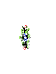 O=C(F)C(F)(C(F)(F)F)C(F)(F)N1C(F)(F)C(F)(F)N(C(F)(F)C(F)(C(=O)F)C(F)(F)F)C(F)(F)C1(F)F